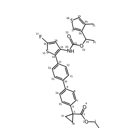 CCOC(=O)C1(c2ccc(-c3ccc(-c4sc(F)cc4NC(=O)OC(C)c4cscc4C)cc3)cc2)CC1